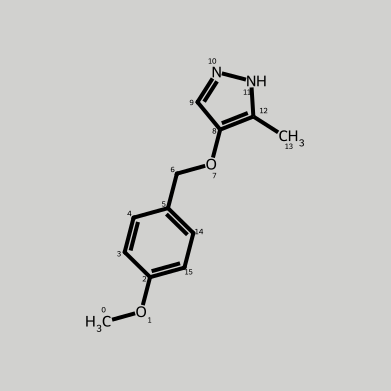 COc1ccc(COc2cn[nH]c2C)cc1